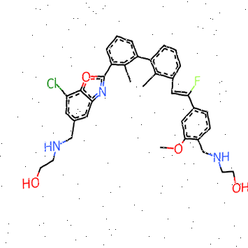 COc1cc(/C(F)=C/c2cccc(-c3cccc(-c4nc5cc(CNCCO)cc(Cl)c5o4)c3C)c2C)ccc1CNCCO